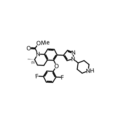 COC(=O)N1c2ccc(-c3cnn(C4CCNCC4)c3)c(Oc3cc(F)ccc3F)c2CC[C@@H]1C